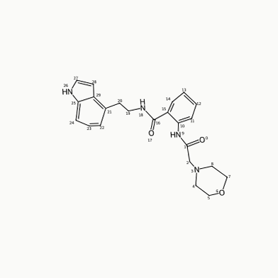 O=C(CN1CCOCC1)Nc1ccccc1C(=O)NCCc1cccc2[nH]ccc12